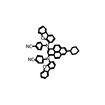 N#Cc1ccc(N(c2cc(N(c3ccc(C#N)cc3)c3cccc4c3oc3ccccc34)c3ccc4cc(C5CCCCC5)cc5ccc2c3c54)c2cccc3c2oc2ccccc23)cc1